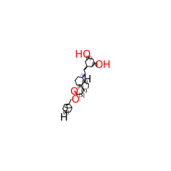 C[C@H](C(=O)OCC1=CC[C@H]2CC1C2(C)C)[C@H]1CC[C@H]2/C(=C/C=C3C[C@@H](O)C[C@H](O)C3)CCC[C@]12C